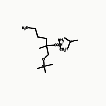 CC(CCC[SiH3])(CO[Si](C)(C)C)C(=O)O.CN(C)C.NC(=O)O